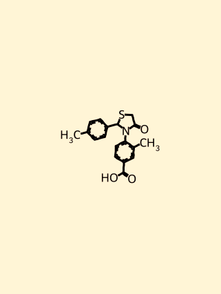 Cc1ccc(C2SCC(=O)N2c2ccc(C(=O)O)cc2C)cc1